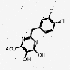 CC(=O)Oc1nc(Cc2ccc(Cl)c(Cl)c2)nc(O)c1O